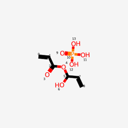 C=CC(=O)OC(O)C=C.O=P(O)(O)O